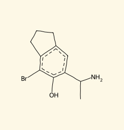 CC(N)c1cc2c(c(Br)c1O)CCC2